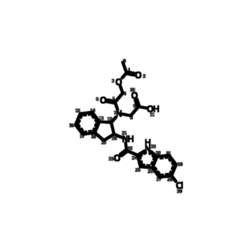 CC(=O)OCC(=O)N(CC(=O)O)C1c2ccccc2CC1NC(=O)c1cc2cc(Cl)ccc2[nH]1